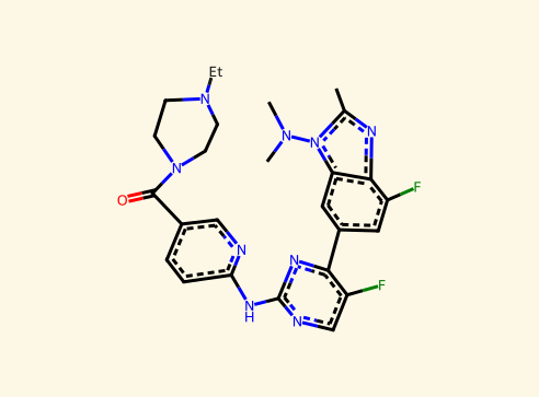 CCN1CCN(C(=O)c2ccc(Nc3ncc(F)c(-c4cc(F)c5nc(C)n(N(C)C)c5c4)n3)nc2)CC1